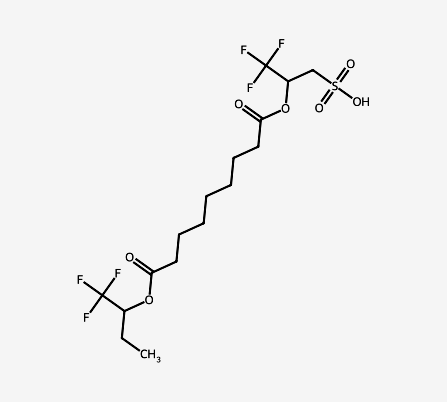 CCC(OC(=O)CCCCCCCC(=O)OC(CS(=O)(=O)O)C(F)(F)F)C(F)(F)F